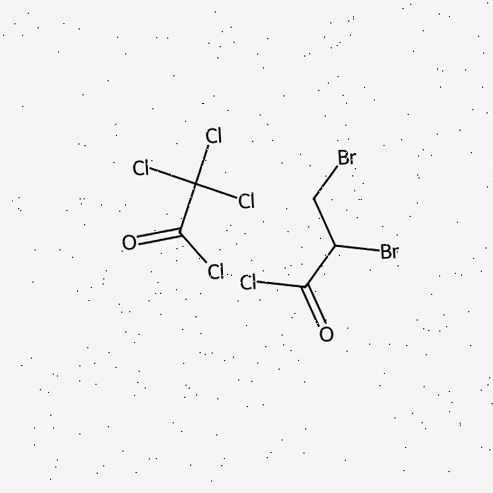 O=C(Cl)C(Br)CBr.O=C(Cl)C(Cl)(Cl)Cl